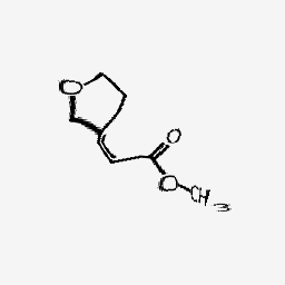 COC(=O)/C=C1\CCOC1